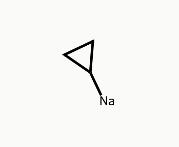 [Na][CH]1CC1